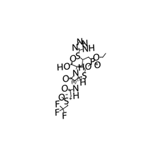 CCOP(=O)(O)CC(Sc1nnn[nH]1)C1=C(C(=O)O)N2C(=O)[C@@H](NC(=O)C[S+]([O-])CC(F)(F)F)[C@@H]2SC1